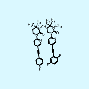 CN1C(=O)N(c2ccc(C#Cc3cc(F)ccc3F)cn2)CCC1(C)C.CN1C(=O)N(c2ccc(C#Cc3ccc(F)cc3)cn2)CCC1(C)C